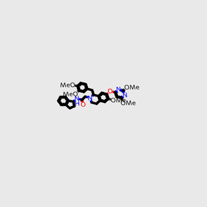 COc1cc(Oc2cc3c(cc2OC)CCN(CC(=O)NC2CCc4ccccc42)C3Cc2ccc(OC)c(OC)c2)nc(OC)n1